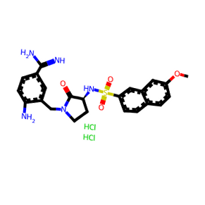 COc1ccc2ccc(S(=O)(=O)N[C@H]3CCN(Cc4cc(C(=N)N)ccc4N)C3=O)cc2c1.Cl.Cl